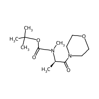 C[C@H](C(=O)N1CCOCC1)N(C)C(=O)OC(C)(C)C